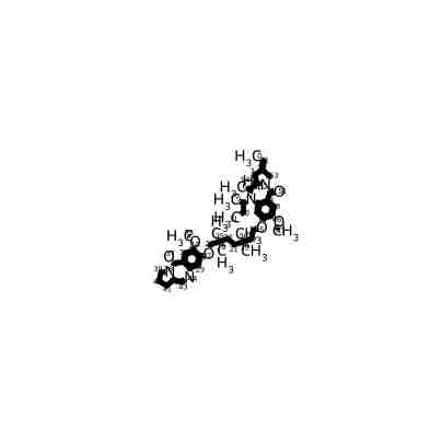 C/C=C1\C[C@H]2C(C)N(C(C)CC)c3cc(OCCC(C)(C)CCC(C)(C)COc4cc5c(cc4OC)C(=O)N4CCCC4C=N5)c(OC)cc3C(=O)N2C1